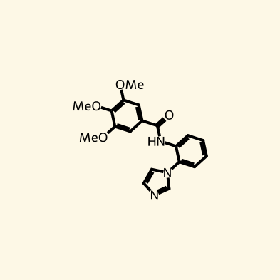 COc1cc(C(=O)Nc2ccccc2-n2ccnc2)cc(OC)c1OC